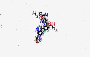 Cc1cc(F)c(-c2ncnc3cc(N4CCOCC4)ccc23)cc1C(O)c1ccc(OC(C)C#N)nn1